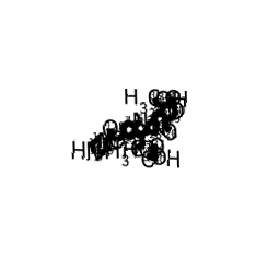 CCc1c2c(nc3ccc(OC(=O)N4CCNCC4)cc13)-c1cc3c(c(=O)n1C2)COC(=O)[C@]3(O)CC.O=S(=O)(O)O